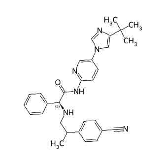 CC(CN[C@H](C(=O)Nc1ccc(-n2cnc(C(C)(C)C)c2)cn1)c1ccccc1)c1ccc(C#N)cc1